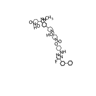 Cn1nc(C2CCC(=O)NC2=O)c2ccc(C3CCN(CC4(O)CCN(C(=O)O[C@H]5CC[C@H](Nc6ncc(F)c(-c7cccc(-c8ccccc8)c7)n6)CC5)CC4)CC3)cc21